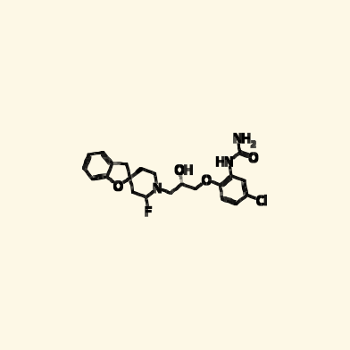 NC(=O)Nc1cc(Cl)ccc1OC[C@@H](O)CN1CC[C@@]2(Cc3ccccc3O2)CC1F